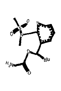 CN(c1ncccc1C(OC(N)=O)C(C)(C)C)S(C)(=O)=O